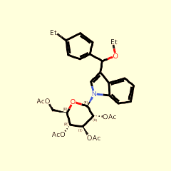 CCOC(c1ccc(CC)cc1)c1cn([C@@H]2O[C@H](COC(C)=O)[C@@H](OC(C)=O)[C@H](OC(C)=O)[C@H]2OC(C)=O)c2ccccc12